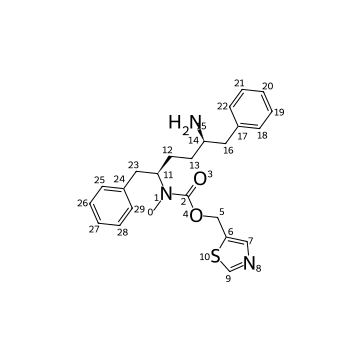 CN(C(=O)OCc1cncs1)[C@H](CC[C@@H](N)Cc1ccccc1)Cc1ccccc1